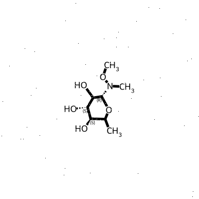 CON(C)[C@@H]1OC(C)[C@@H](O)[C@H](O)C1O